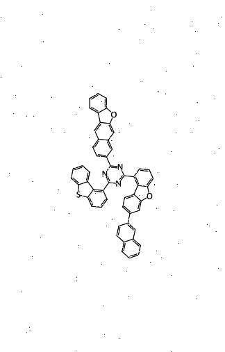 c1ccc2cc(-c3ccc4c(c3)oc3cccc(-c5nc(-c6ccc7cc8c(cc7c6)oc6ccccc68)nc(-c6cccc7sc8ccccc8c67)n5)c34)ccc2c1